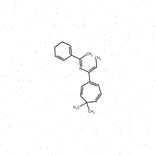 C/C=C(\N=C(/C)C1=CCCC=C1)C1=CC=CC(C)(C)C=C1